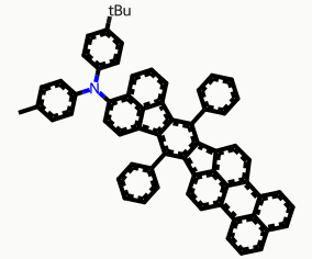 Cc1ccc(N(c2ccc(C(C)(C)C)cc2)c2ccc3c4c(-c5ccccc5)c5c6ccc7c8cccc9cccc(c%10ccc(c5c(-c5ccccc5)c4c4cccc2c43)c6c%107)c98)cc1